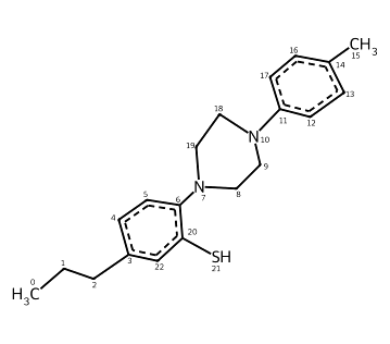 CCCc1ccc(N2CCN(c3ccc(C)cc3)CC2)c(S)c1